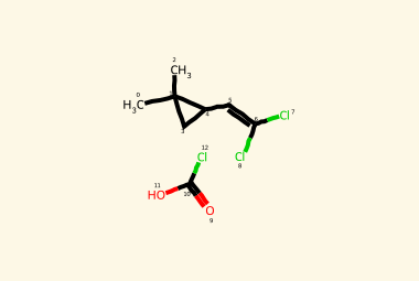 CC1(C)CC1C=C(Cl)Cl.O=C(O)Cl